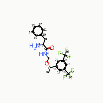 C[C@@H](OCNC(=O)[C@@H](N)Cc1ccccc1)c1cc(C(F)(F)F)cc(C(F)(F)F)c1